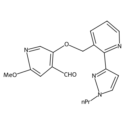 CCCn1ccc(-c2ncccc2COc2cnc(OC)cc2C=O)n1